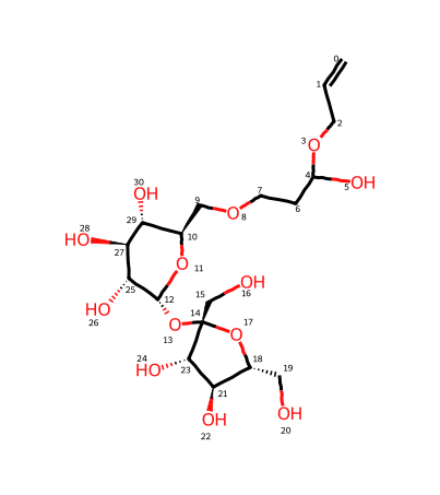 C=CCOC(O)CCOC[C@H]1O[C@H](O[C@]2(CO)O[C@H](CO)[C@@H](O)[C@@H]2O)[C@H](O)[C@@H](O)[C@@H]1O